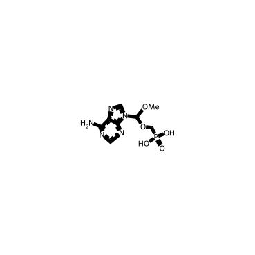 COC(OCP(=O)(O)O)n1cnc2c(N)ncnc21